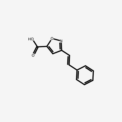 O=C(O)c1cc(/C=C/c2ccccc2)no1